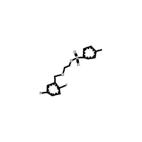 Cc1ccc(S(=O)(=O)OCCOCc2cc(F)ccc2F)cc1